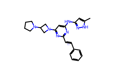 Cc1cc(Nc2cc(N3CC(N4CCCC4)C3)nc(/C=C/c3ccccc3)n2)n[nH]1